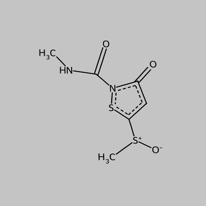 CNC(=O)n1sc([S+](C)[O-])cc1=O